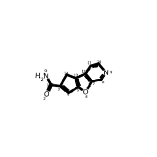 NC(=O)C1=Cc2oc3cnccc3c2C1